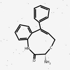 N[C@H]1CC/C=C(/c2ccccc2)c2ccccc2NC1=O